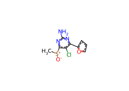 C[S+]([O-])c1nc(N)nc(-c2ccco2)c1Cl